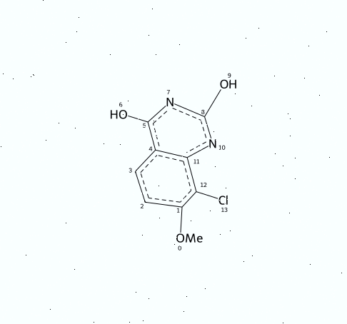 COc1ccc2c(O)nc(O)nc2c1Cl